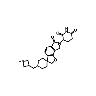 O=C1CC[C@@H](N2Cc3c(ccc4c3OCC43CCN(CC4CNC4)CC3)C2=O)C(=O)N1